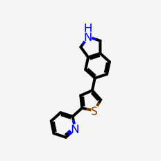 c1ccc(-c2cc(-c3ccc4c(c3)CNC4)cs2)nc1